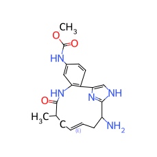 COC(=O)Nc1ccc2c(c1)NC(=O)C(C)C/C=C/CC(N)c1nc-2c[nH]1